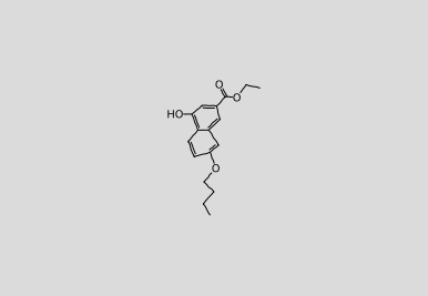 CCCCOc1ccc2c(O)cc(C(=O)OCC)cc2c1